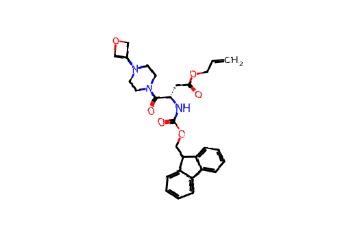 C=CCOC(=O)C[C@H](NC(=O)OCC1c2ccccc2-c2ccccc21)C(=O)N1CCN(C2COC2)CC1